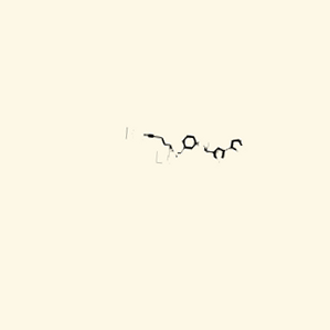 CCN(CC=CC#CC(C)(C)C)Cc1cccc(OCc2cc(-c3ccsc3)cs2)c1